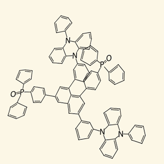 O=P(c1ccccc1)(c1ccccc1)c1ccc(-c2cc(-c3cccc(N4c5ccccc5N(c5ccccc5)c5ccccc54)c3)c3c(-c4ccc(P(=O)(c5ccccc5)c5ccccc5)cc4)cc(-c4cccc(N5c6ccccc6N(c6ccccc6)c6ccccc65)c4)cc3c2)cc1